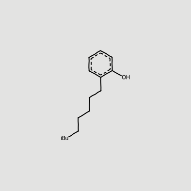 CCC(C)CCCCCc1ccccc1O